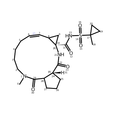 CN1CCCC/C=C\C2C[C@@]2(C(=O)NS(=O)(=O)C2(C)CC2)NC(=O)[C@@H]2CCCC2C1=O